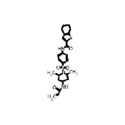 C=CC(=O)NC1CC(C)N(S(=O)(=O)c2ccc(NC(=O)c3cc4c(s3)CCCC4)cc2)C(C)C1